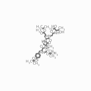 CC[C@](C)(NC(=O)[C@H](Cc1ccc(OC(C)(C)C)cc1)NC(=O)OC(C)(C)C)C(=O)N[C@@H](CCC(=O)OC(C)(C)C)C(=O)NCC(=O)N[C@H](C(=O)O)[C@@H](C)O